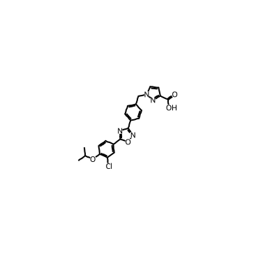 CC(C)Oc1ccc(-c2nc(-c3ccc(Cn4ccc(C(=O)O)n4)cc3)no2)cc1Cl